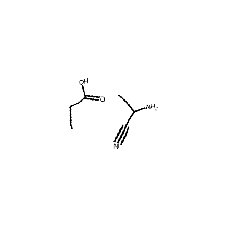 CC(N)C#N.CCC(=O)O